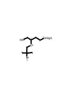 CCCCCCCCCC(CS)OCC(C)(C)Br